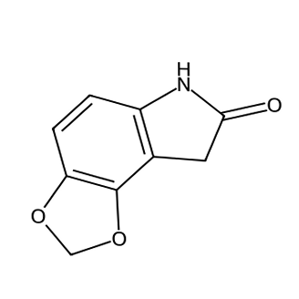 O=C1Cc2c(ccc3c2OCO3)N1